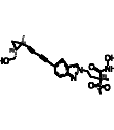 C[C@@]1(C#CC#Cc2ccc3nn(CC[C@](C)(C(=O)NO)S(C)(=O)=O)cc3c2)C[C@H]1CO